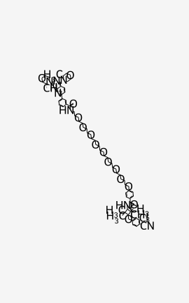 CC1COCCN1c1nc(N2CCOC[C@H]2C)nc2nc(-c3cccc(C(=O)NCCOCCOCCOCCOCCOCCOCCOCCOCCOc4ccc(C(=O)NC5C(C)(C)C(Oc6ccc(C#N)c(Cl)c6)C5(C)C)cc4)c3)ccc12